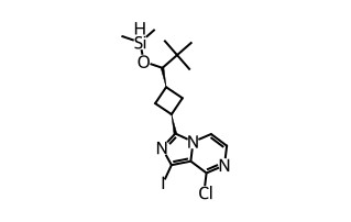 C[SiH](C)OC([C@H]1C[C@@H](c2nc(I)c3c(Cl)nccn32)C1)C(C)(C)C